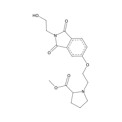 COC(=O)C1CCCN1CCOc1ccc2c(c1)C(=O)N(CCO)C2=O